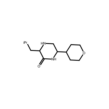 CC(C)CC1NCC(C2CCOCC2)NC1=O